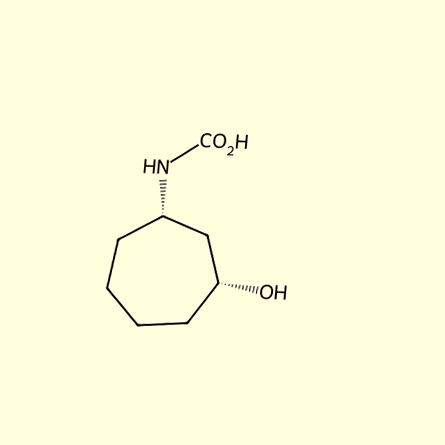 O=C(O)N[C@H]1CCCC[C@@H](O)C1